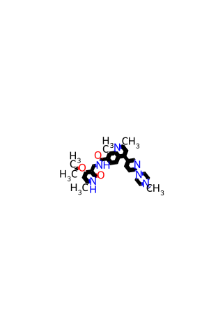 Cc1cc(-c2ccc(N3CCN(C)CC3)nc2)c2ccc(C(=O)NCc3c(OC(C)C)cc(C)[nH]c3=O)c(C)c2n1